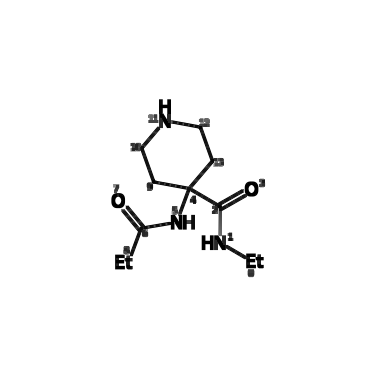 CCNC(=O)C1(NC(=O)CC)CCNCC1